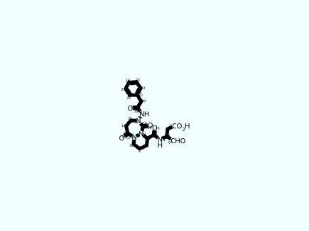 O=CC(CC(=O)O)NC(=O)C1CCCN2C(=O)CCN(NC(=O)Cc3ccccc3)C(=O)N12